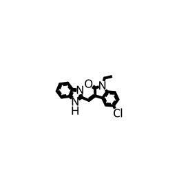 CCN1C(=O)/C(=C\c2nc3ccccc3[nH]2)c2cc(Cl)ccc21